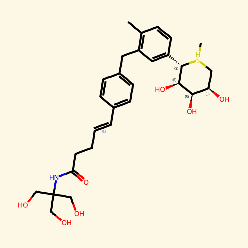 Cc1ccc([C@H]2[C@H](O)[C@H](O)[C@H](O)C[SH]2C)cc1Cc1ccc(/C=C/CCC(=O)NC(CO)(CO)CO)cc1